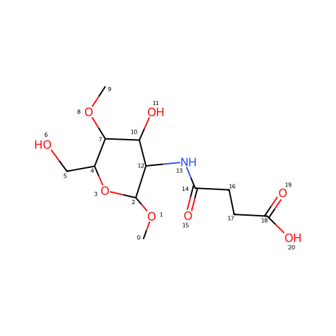 COC1OC(CO)C(OC)C(O)C1NC(=O)CCC(=O)O